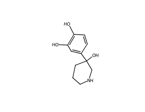 Oc1ccc(C2(O)CCCNC2)cc1O